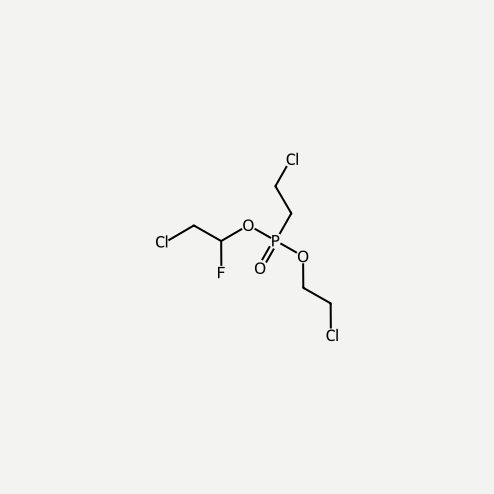 O=P(CCCl)(OCCCl)OC(F)CCl